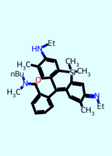 CCCCN(C)C(=O)c1ccccc1C1=C2C=C(C)/C(=N\CC)C=C2[Si](C)(C)c2cc(NCC)c(C)cc21